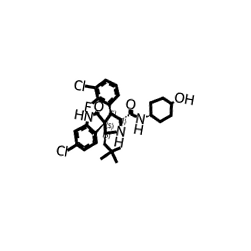 CC(C)(C)C[C@@H]1N[C@@H](C(=O)N[C@H]2CC[C@H](O)CC2)[C@H](c2cccc(Cl)c2F)[C@@]12C(=O)Nc1cc(Cl)ccc12